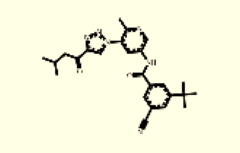 Cc1ncc(NC(=O)c2cc(C#N)cc(C(C)(C)C)c2)cc1-n1cc(C(=O)CC(C)C)nn1